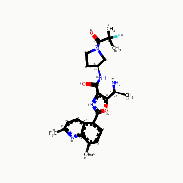 COc1ccc(-c2nc(C(=O)N[C@H]3CCN(C(=O)C(C)(C)F)C3)c([C@H](C)N)o2)c2ccc(C(F)(F)F)nc12